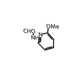 COc1ccccn1.NC=O